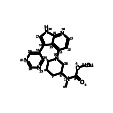 CN(C(=O)OC(C)(C)C)C1CCCN(c2ccnc3[nH]cc(-c4cncnc4)c23)C1